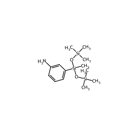 C[Si](C)(C)O[Si](C)(O[Si](C)(C)C)c1cccc(N)c1